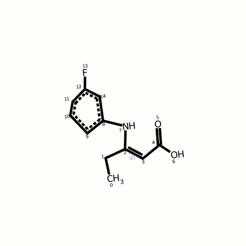 CC/C(=C/C(=O)O)Nc1cccc(F)c1